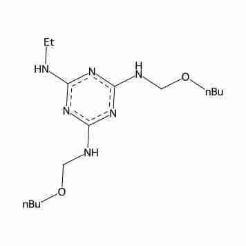 CCCCOCNc1nc(NCC)nc(NCOCCCC)n1